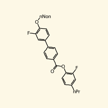 CCCCCCCCCOc1ccc(-c2ccc(C(=O)Oc3ccc(CCC)cc3F)cc2)cc1F